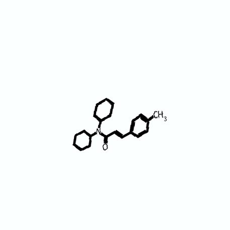 Cc1ccc(/C=C/C(=O)N(C2CCCCC2)C2CCCCC2)cc1